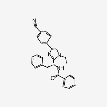 CCn1cc(-c2ccc(C#N)cc2)nc1[C@H](Cc1ccccc1)NC(=O)c1ccccc1